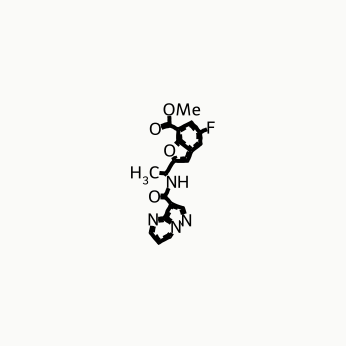 COC(=O)c1cc(F)cc2cc(C(C)NC(=O)c3cnn4cccnc34)oc12